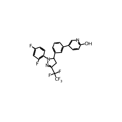 Oc1ccc(-c2cccc(C3CC(C(F)(F)C(F)(F)F)=NN3c3ccc(F)cc3F)c2)cn1